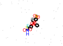 CC(C)CCC(Oc1ccccc1)(Oc1ccc(S(C)(=O)=O)cc1)Oc1cccc(C2(F)SC(=O)NC2=O)c1